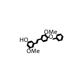 COc1cc(O)cc(/C=C/c2ccc(OCc3ccccc3)c(OC)c2)c1